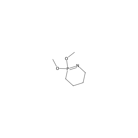 COP1(OC)=NCCCC1